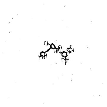 Cc1cn(-c2cc(NC(=O)c3ccc(Cl)c(C#Cc4ccc(I)nn4)c3)cc(C(F)(F)F)c2)cn1